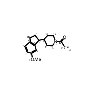 COc1ccc2c(c1)C(C1CCN(C(=O)C(F)(F)F)CC1)CC2